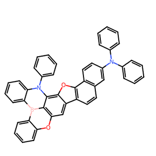 c1ccc(N(c2ccccc2)c2ccc3c(ccc4c5cc6c7c(c5oc34)N(c3ccccc3)c3ccccc3B7c3ccccc3O6)c2)cc1